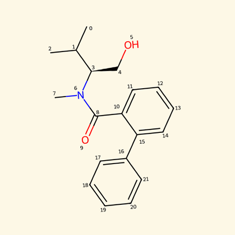 CC(C)[C@@H](CO)N(C)C(=O)c1ccccc1-c1ccccc1